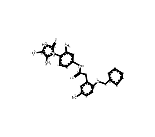 Cc1cc(NC(=O)Cc2cc(C#N)ccc2OCc2ccccc2)ccc1-n1c(C)c(C)[nH]c1=O